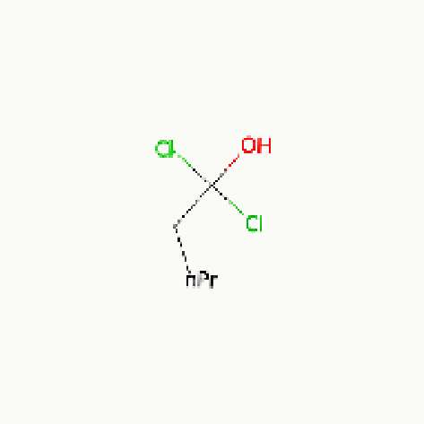 CCCCC(O)(Cl)Cl